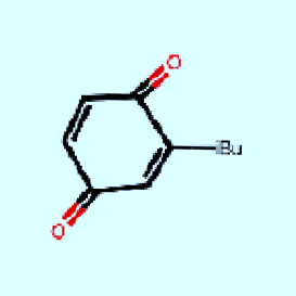 CCC(C)C1=CC(=O)C=CC1=O